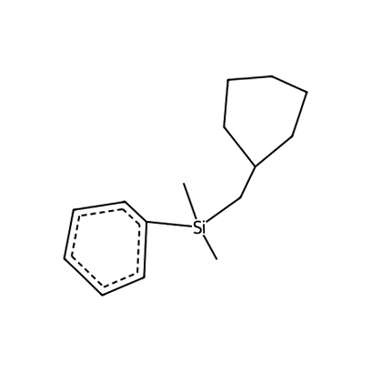 C[Si](C)(CC1CCCCC1)c1ccccc1